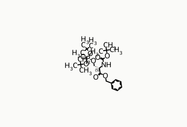 CC(C)(C)OC(=O)N[C@@H](COP(=O)(OC(C)(C)C)OC(C)(C)C)C(=O)OCc1ccccc1